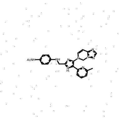 CC(=O)Nc1ccc(NCc2nc(N3C=Cc4ncnn4C3)c(-c3cccc(C)n3)[nH]2)cc1